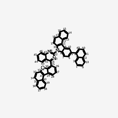 c1ccc2c(-c3ccc4c(c3)c3c5ccccc5ccc3n4-c3nc(-c4cccc5c4oc4ccc6ccccc6c45)c4ccccc4n3)cccc2c1